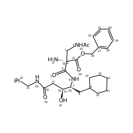 CC(=O)NC[C@](N)(C(=O)N[C@@H](CC1CCCCC1)[C@@H](O)CC(=O)NCC(C)C)C(=O)OCc1ccccc1